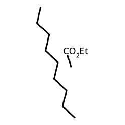 CCCCCCCCC.CCOC(C)=O